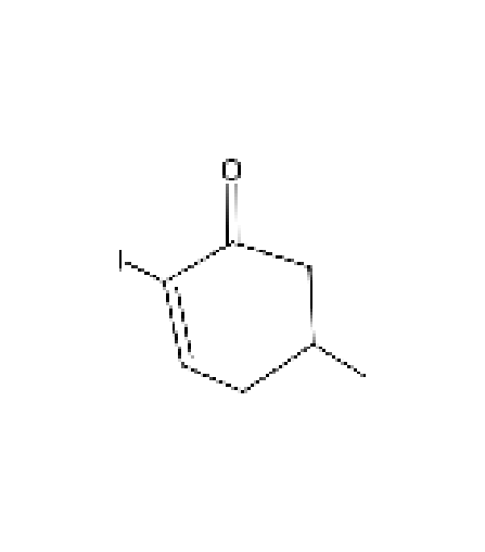 CC1CC=C(I)C(=O)C1